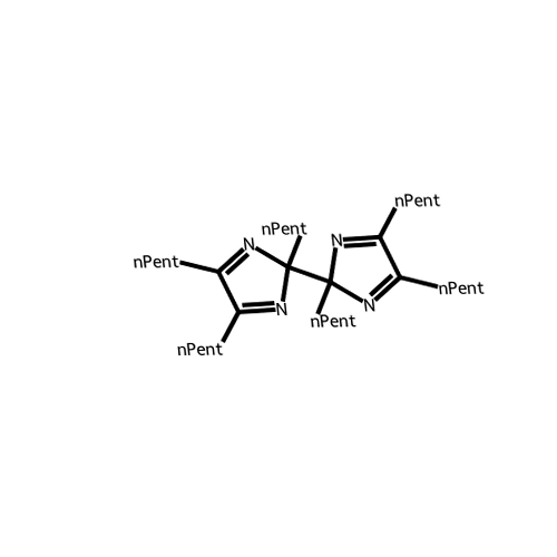 CCCCCC1=NC(CCCCC)(C2(CCCCC)N=C(CCCCC)C(CCCCC)=N2)N=C1CCCCC